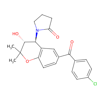 CC1(C)Oc2ccc(C(=O)c3ccc(Cl)cc3)cc2[C@H](N2CCCC2=O)[C@H]1O